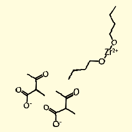 CC(=O)C(C)C(=O)[O-].CC(=O)C(C)C(=O)[O-].CCCC[O][Zr+2][O]CCCC